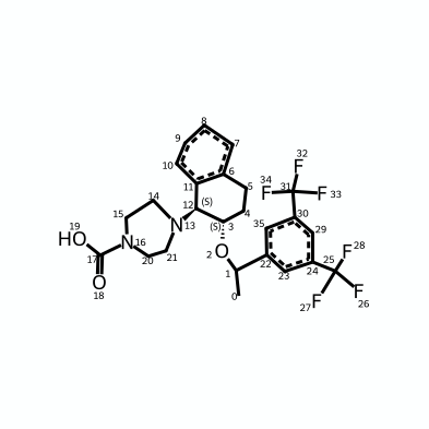 CC(O[C@H]1CCc2ccccc2[C@@H]1N1CCN(C(=O)O)CC1)c1cc(C(F)(F)F)cc(C(F)(F)F)c1